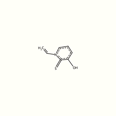 C=Cn1cccc(O)c1=S